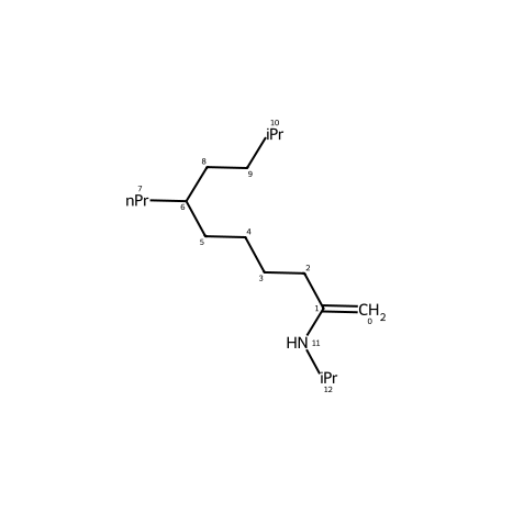 C=C(CCCCC(CCC)CCC(C)C)NC(C)C